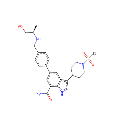 CCS(=O)(=O)N1CCC(c2c[nH]c3c(C(N)=O)cc(-c4ccc(CN[C@H](C)CO)cc4)cc23)CC1